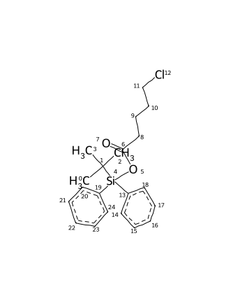 CC(C)(C)[Si](OC(=O)CCCCCl)(c1ccccc1)c1ccccc1